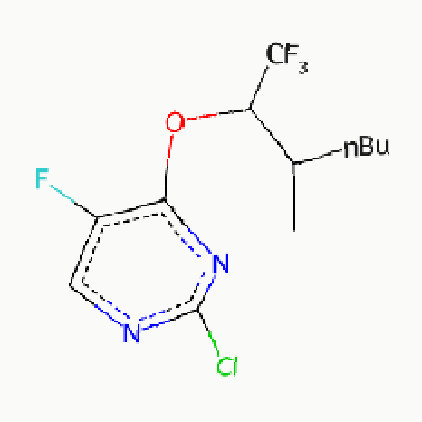 CCCCC(C)C(Oc1nc(Cl)ncc1F)C(F)(F)F